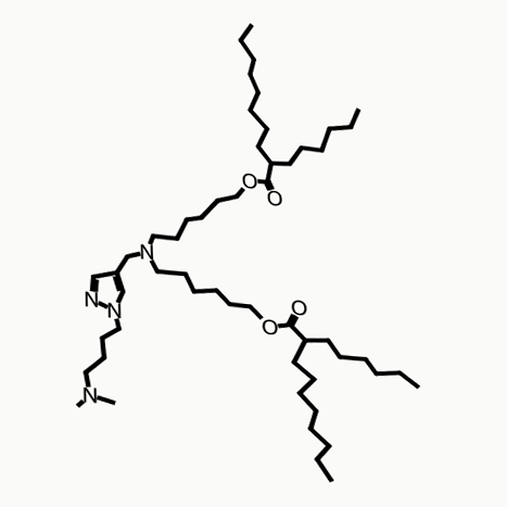 CCCCCCCCC(CCCCCC)C(=O)OCCCCCCN(CCCCCCOC(=O)C(CCCCCC)CCCCCCCC)Cc1cnn(CCCCN(C)C)c1